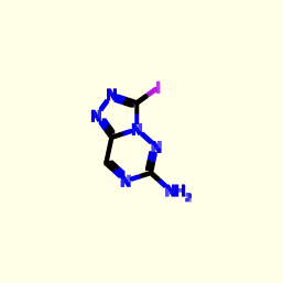 Nc1ncc2nnc(I)n2n1